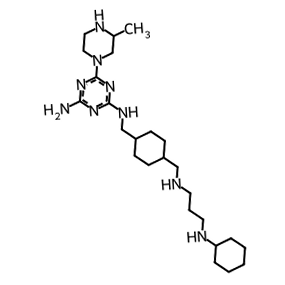 CC1CN(c2nc(N)nc(NCC3CCC(CNCCCNC4CCCCC4)CC3)n2)CCN1